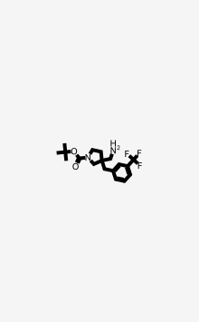 CC(C)(C)OC(=O)N1CCC(CN)(Cc2cccc(C(F)(F)F)c2)C1